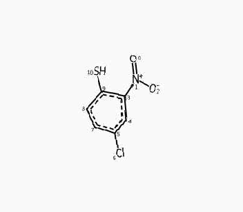 O=[N+]([O-])c1cc(Cl)ccc1S